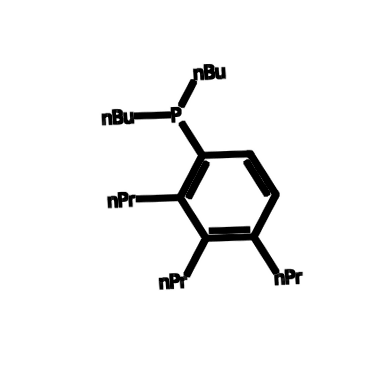 CCCCP(CCCC)c1ccc(CCC)c(CCC)c1CCC